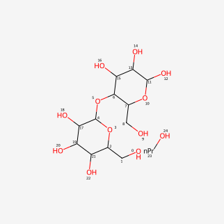 OCC1OC(OC2C(CO)OC(O)C(O)C2O)C(O)C(O)C1O.[CH2]CCO